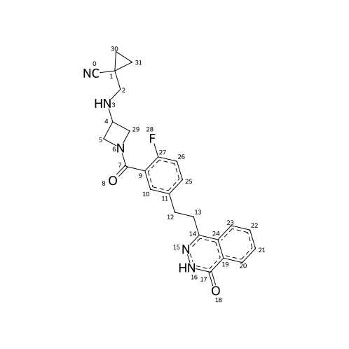 N#CC1(CNC2CN(C(=O)c3cc(CCc4n[nH]c(=O)c5ccccc45)ccc3F)C2)CC1